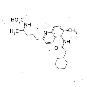 Cc1ccc2nc(CCCC(C)NC(=O)O)ccc2c1NC(=O)CC1CCCCC1